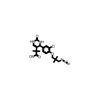 CC(C)(CN=[N+]=[N-])COc1ccc(C2NC(=O)NC=C2C(C)(C)C(=O)N=O)cc1Cl